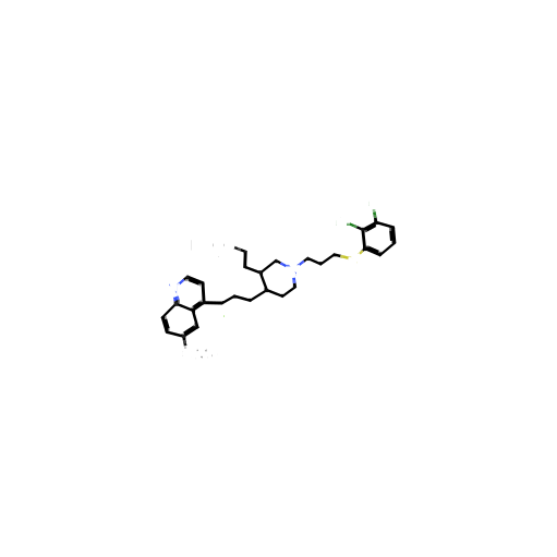 COc1ccc2nccc([C@@H](F)CCC3CCN(CCCSc4cccc(Cl)c4Cl)CC3CCC(=O)O)c2c1